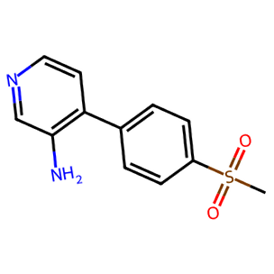 CS(=O)(=O)c1ccc(-c2ccncc2N)cc1